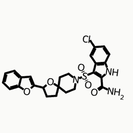 NC(=O)c1[nH]c2ccc(Cl)cc2c1S(=O)(=O)N1CCC2(CCC(c3cc4ccccc4o3)O2)CC1